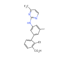 CCc1c(C(=O)O)cccc1-c1cc(C)cc(Nc2nccc(C(F)(F)F)n2)c1